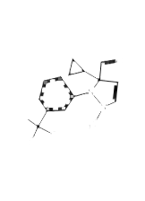 CN1C=CC(C=O)(C2CC2)N1c1cccc(C(F)(F)F)c1